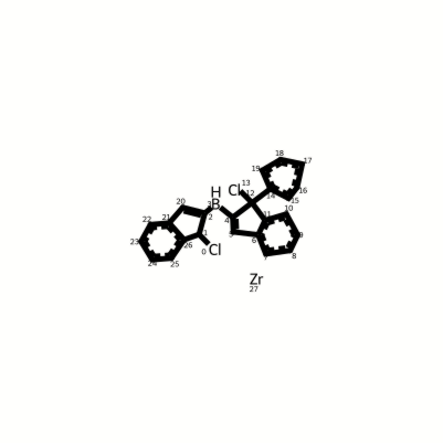 ClC1C(BC2=Cc3ccccc3C2(Cl)c2ccccc2)=Cc2ccccc21.[Zr]